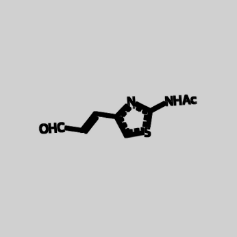 CC(=O)Nc1nc(/C=C/C=O)cs1